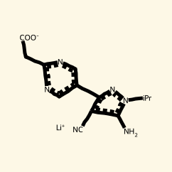 CC(C)n1nc(-c2cnc(CC(=O)[O-])nc2)c(C#N)c1N.[Li+]